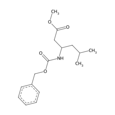 COC(=O)CC(CC(C)C)NC(=O)OCc1ccccc1